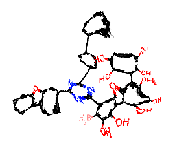 Bc1c(O)c(O)c2c(oc3c(-c4c(O)c(O)cc(O)c4O)c(O)c(O)c(O)c32)c1-c1nc(-c2ccc(-c3ccccc3)cc2)nc(-c2ccc3c(c2)oc2ccccc23)n1